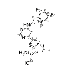 CCOc1cc(-c2cc(NCCc3c(F)cc(Br)cc3F)ncn2)sc1C/C(N)=N/O